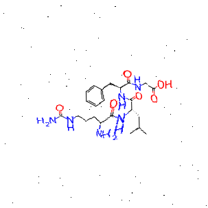 CC(C)C[C@H](NC(=O)[C@@H](N)CCCNC(N)=O)C(=O)N[C@@H](Cc1ccccc1)C(=O)NCC(=O)O